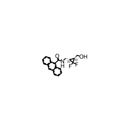 O=C(NC[C@@H]1[C@@H](CO)C1(F)F)c1c2ccccc2cc2ccccc12